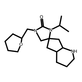 CC(C)N1C(=O)N(CC2CCCCO2)CC12CC1CCCNC1C2